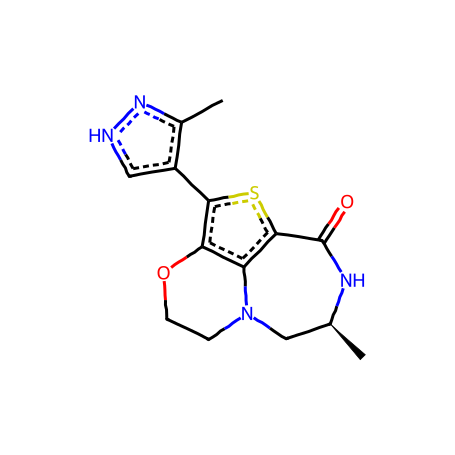 Cc1n[nH]cc1-c1sc2c3c1OCCN3C[C@H](C)NC2=O